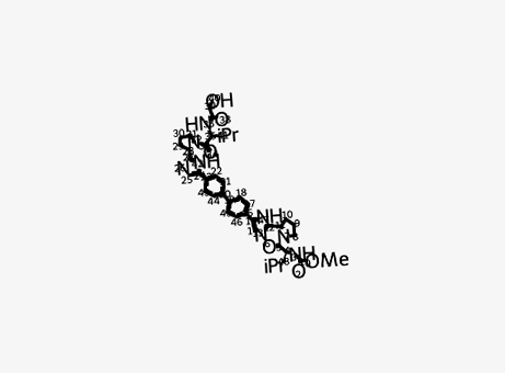 COC(=O)N[C@H](C(=O)N1CCCC1c1ncc(-c2ccc(-c3ccc(-c4cnc(C5CCCN5C(=O)C(NC(=O)CO)C(C)C)[nH]4)cc3)cc2)[nH]1)C(C)C